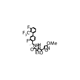 CCN(NC(=O)c1cc(OC)no1)C(=O)N[C@H](C)c1ccc(-c2cccc(F)c2C(F)(F)F)cc1F